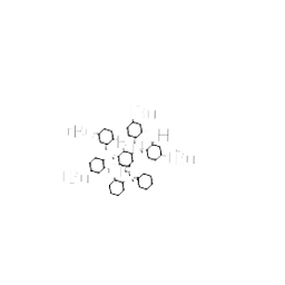 Cc1cc(C(C)(C)C)ccc1N1c2ccc(C(C)(C)C)cc2B2c3ccc(C(C)(C)C)cc3N(c3ccc(C(C)(C)C)cc3C)c3cc(N(c4ccccc4)c4ccccc4)cc1c32